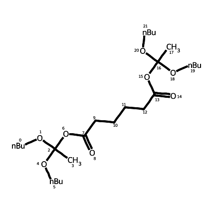 CCCCOC(C)(OCCCC)OC(=O)CCCCC(=O)OC(C)(OCCCC)OCCCC